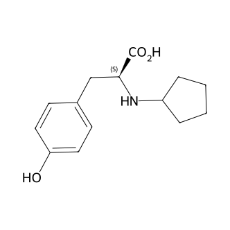 O=C(O)[C@H](Cc1ccc(O)cc1)NC1CCCC1